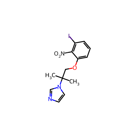 CC(C)(COc1cccc(I)c1[N+](=O)[O-])n1ccnc1